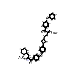 CC(=O)O/N=C(\CCC1CC(c2ccc(Sc3ccc(C(=O)/C(CC4CCCCC4)=N/OC(C)=O)cc3)cc2)C1)C(=O)c1ccc(Sc2ccccc2)cc1